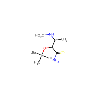 CC(NC(=O)O)C(O[Si](C)(C)C(C)(C)C)C(N)=S